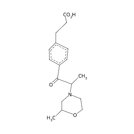 CC1CN(C(C)C(=O)c2ccc(CCC(=O)O)cc2)CCO1